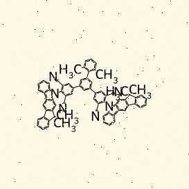 Cc1cccc(C)c1-c1cc(-c2cc(C#N)c(-n3c4ccccc4c4cc5c(cc43)C(C)(C)c3ccccc3-5)c(C#N)c2)cc(-c2cc(C#N)c(-n3c4ccccc4c4cc5c(cc43)C(C)(C)c3ccccc3-5)c(C#N)c2)c1